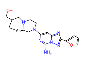 Nc1nc(N2CCN3CC(CO)C[AsH]C3C2)cc2nc(-c3ccco3)nn12